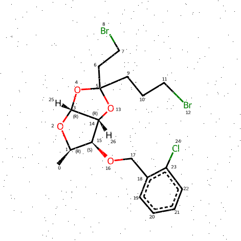 C[C@H]1O[C@@H]2OC(CCBr)(CCCBr)O[C@@H]2[C@H]1OCc1ccccc1Cl